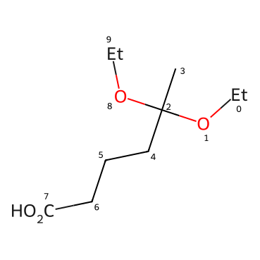 CCOC(C)(CCCC(=O)O)OCC